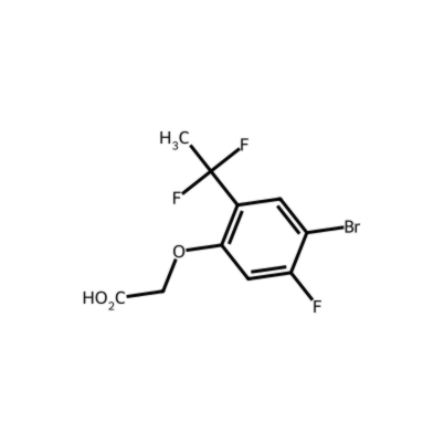 CC(F)(F)c1cc(Br)c(F)cc1OCC(=O)O